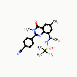 Cc1cc([C@@H](C)N[S@+]([O-])C(C)(C)C)c2nc(-c3ccc(C#N)cc3)n(C)c(=O)c2c1